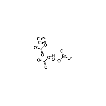 O=C([O-])[O-].O=C([O-])[O-].O=[N+]([O-])OO.[Ca+2].[Cu+2]